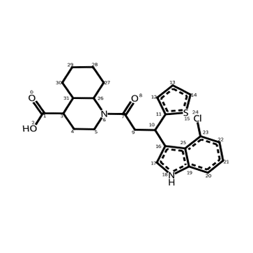 O=C(O)C1CCN(C(=O)CC(c2cccs2)c2c[nH]c3cccc(Cl)c23)C2CCCCC12